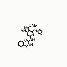 COc1n[nH]c2cc(NC(=O)NC(C)c3ccccc3)nc(Cn3ccnc3)c12